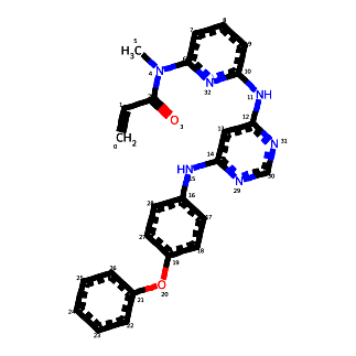 C=CC(=O)N(C)c1cccc(Nc2cc(Nc3ccc(Oc4ccccc4)cc3)ncn2)n1